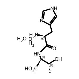 C[C@@H](O)[C@H](NC(=O)[C@@H](N)Cc1c[nH]cn1)C(=O)O.O.O